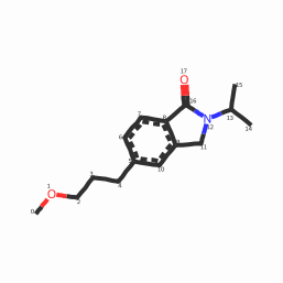 COCCCc1ccc2c(c1)CN(C(C)C)C2=O